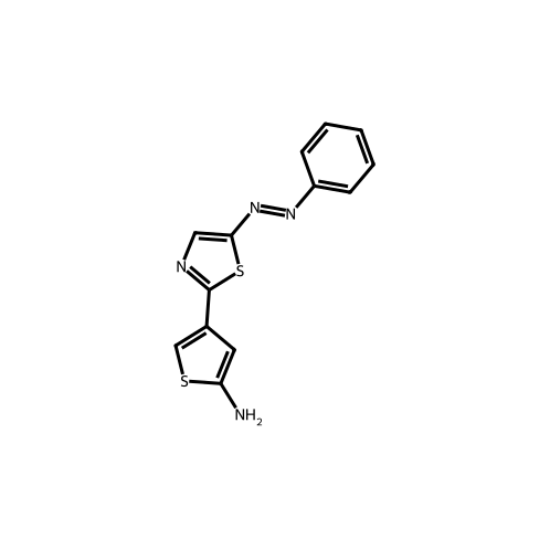 Nc1cc(-c2ncc(N=Nc3ccccc3)s2)cs1